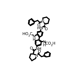 O=C(O)Nc1cc(NC(=O)C2CCCCN2C(=O)Cc2ccccc2)ccc1-c1ccc(NC(=O)[C@@H]2CCCCN2C(=O)Cc2ccccc2)cc1NC(=O)O